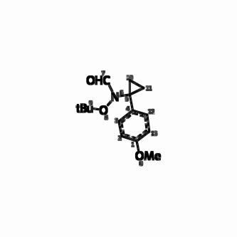 COc1ccc(C2(N(C=O)OC(C)(C)C)CC2)cc1